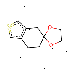 c1scc2c1CCC1(C2)OCCO1